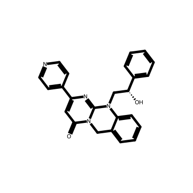 O=c1cc(-c2ccncc2)nc2n1Cc1ccccc1N2C[C@@H](O)c1ccccc1